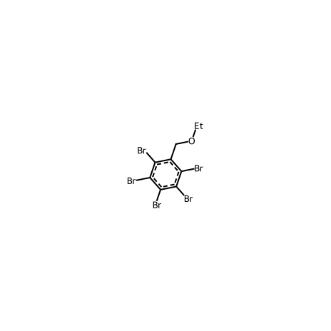 CCOCc1c(Br)c(Br)c(Br)c(Br)c1Br